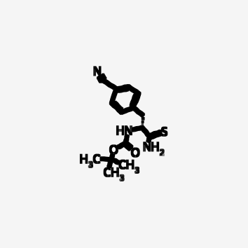 CC(C)(C)OC(=O)N[C@H](Cc1ccc(C#N)cc1)C(N)=S